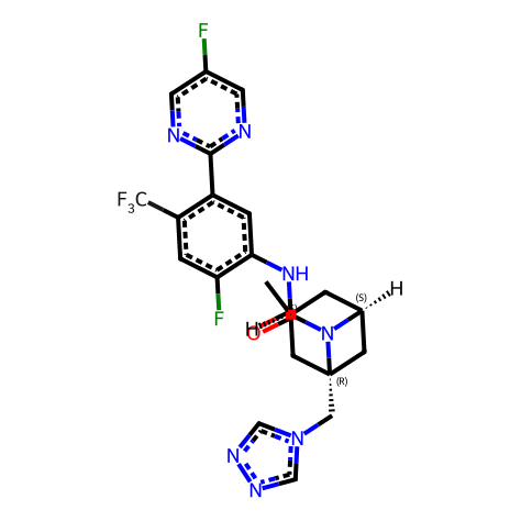 C[C@H]1C[C@H]2C[C@@](Cn3cnnc3)(C1)N2C(=O)Nc1cc(-c2ncc(F)cn2)c(C(F)(F)F)cc1F